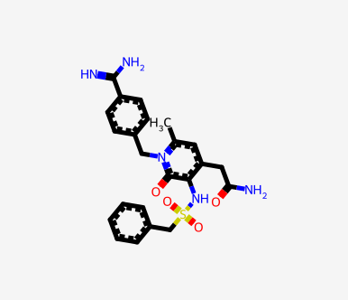 Cc1cc(CC(N)=O)c(NS(=O)(=O)Cc2ccccc2)c(=O)n1Cc1ccc(C(=N)N)cc1